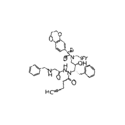 C#CCCC(=O)N(NC(=O)CNCc1ccccc1)[C@@H](Cc1ccccc1)[C@H](O)CN(CC(C)C)S(=O)(=O)c1ccc2c(c1)OCCO2